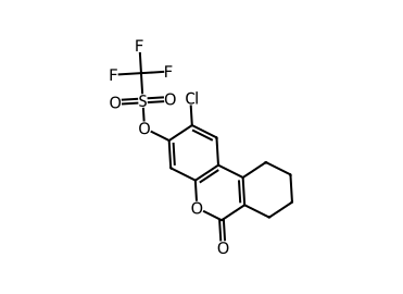 O=c1oc2cc(OS(=O)(=O)C(F)(F)F)c(Cl)cc2c2c1CCCC2